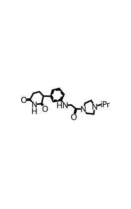 CC(C)N1CCN(C(=O)CNc2cccc(C3CCC(=O)NC3=O)c2)CC1